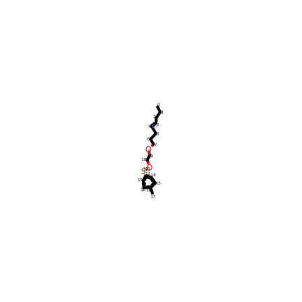 CCC/C=C/CCCOCCOSc1ccc(C)cc1